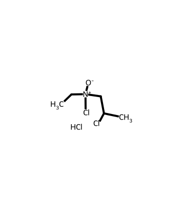 CC[N+]([O-])(Cl)CC(C)Cl.Cl